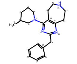 CC1CCCN(c2nc(Cc3ccccc3)nc3c2CCNCC3)C1